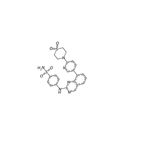 NS(=O)(=O)c1ccc(Nc2ncc3cccc(-c4ccc(N5CCS(=O)(=O)CC5)nc4)c3n2)cc1